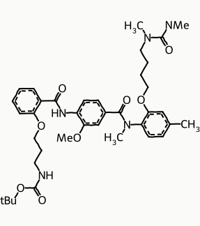 CNC(=O)N(C)CCCCOc1cc(C)ccc1N(C)C(=O)c1ccc(NC(=O)c2ccccc2OCCCNC(=O)OC(C)(C)C)c(OC)c1